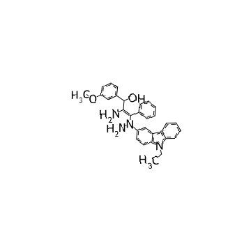 CCn1c2ccccc2c2cc(N(N)/C(=C(\N)C(O)c3cccc(OC)c3)c3ccccc3)ccc21